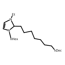 CCCCCCCCCCCCCCCCCC1N(CC)C=CN1CCCCCC